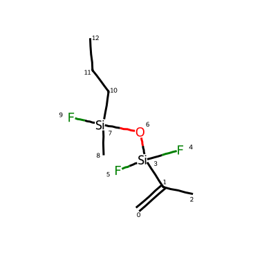 C=C(C)[Si](F)(F)O[Si](C)(F)CCC